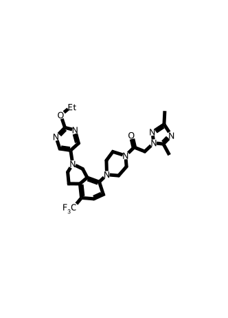 CCOc1ncc(N2CCc3c(C(F)(F)F)ccc(N4CCN(C(=O)Cn5nc(C)nc5C)CC4)c3C2)cn1